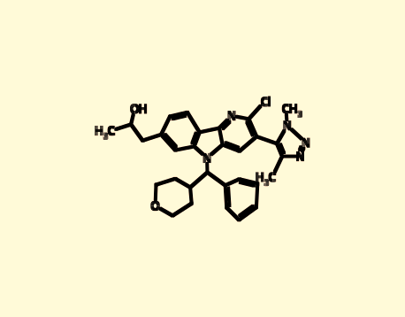 Cc1nnn(C)c1-c1cc2c(nc1Cl)c1ccc(CC(C)O)cc1n2C(c1ccccc1)C1CCOCC1